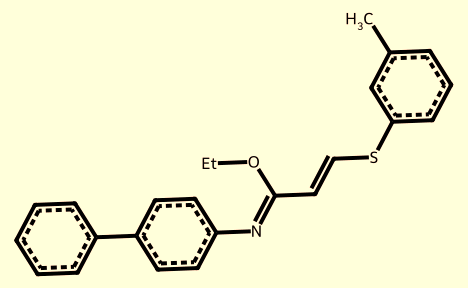 CCOC(C=CSc1cccc(C)c1)=Nc1ccc(-c2ccccc2)cc1